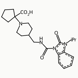 CC(C)n1c(=O)n(C(=O)NCC2CCN(C3(C(=O)O)CCCC3)CC2)c2ccccc21